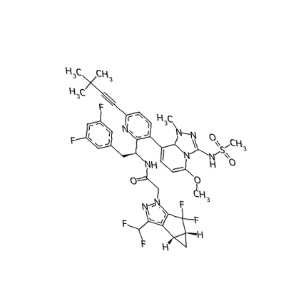 COC1=CC=C(c2ccc(C#CC(C)(C)C)nc2[C@H](Cc2cc(F)cc(F)c2)NC(=O)Cn2nc(C(F)F)c3c2C(F)(F)[C@@H]2C[C@H]32)C2N(C)N=C(NS(C)(=O)=O)N12